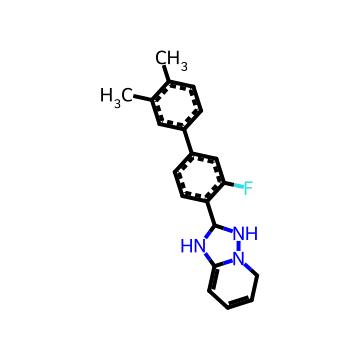 Cc1ccc(-c2ccc(C3NC4=CC=CCN4N3)c(F)c2)cc1C